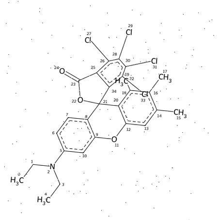 CCN(CC)c1ccc2c(c1)Oc1cc(C)c(C)c(C)c1C21OC(=O)c2c(Cl)c(Cl)c(Cl)c(Cl)c21